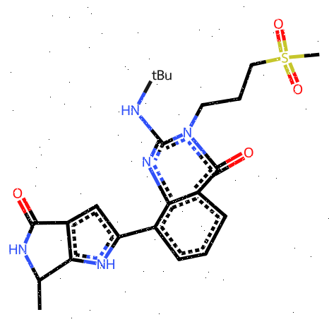 CC1NC(=O)c2cc(-c3cccc4c(=O)n(CCCS(C)(=O)=O)c(NC(C)(C)C)nc34)[nH]c21